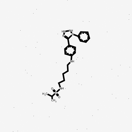 CC(C)S(=O)(=O)NCCCCCNc1ccc(C2=NNNN2c2ccccc2)cc1